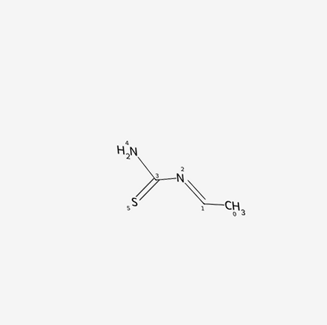 CC=NC(N)=S